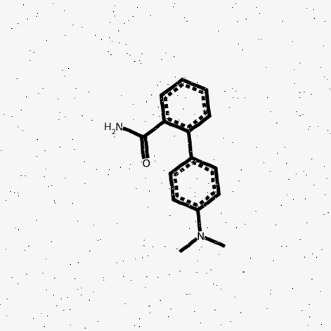 CN(C)c1ccc(-c2ccccc2C(N)=O)cc1